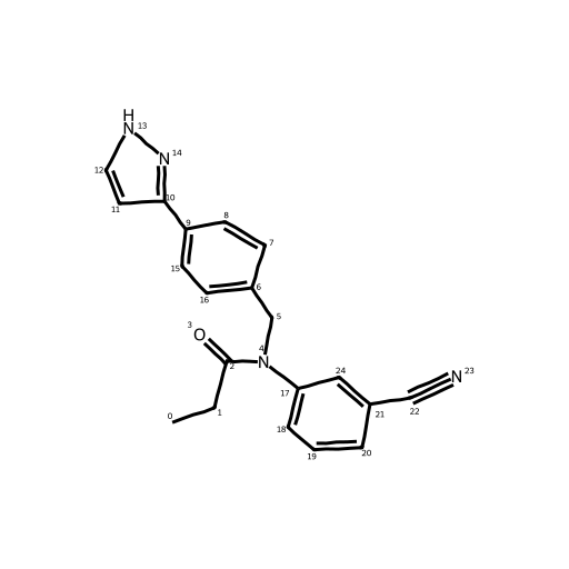 CCC(=O)N(Cc1ccc(-c2cc[nH]n2)cc1)c1cccc(C#N)c1